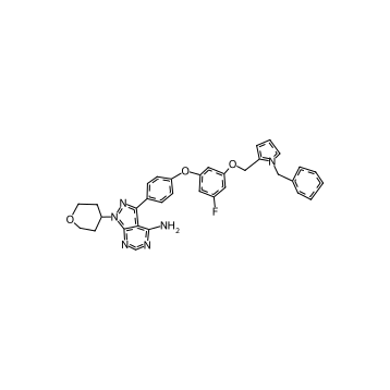 Nc1ncnc2c1c(-c1ccc(Oc3cc(F)cc(OCc4cccn4Cc4ccccc4)c3)cc1)nn2C1CCOCC1